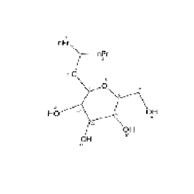 CCCC(CCC)OC1OC(CO)C(O)C(O)C1O